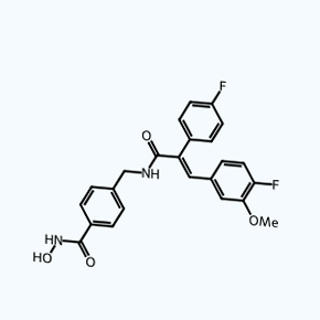 COc1cc(/C=C(/C(=O)NCc2ccc(C(=O)NO)cc2)c2ccc(F)cc2)ccc1F